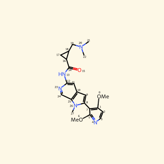 COc1ccnc(OC)c1-c1cc2cc(NC(=O)C3CC3CN(C)C)ncc2n1C